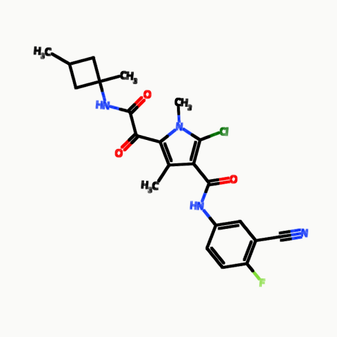 Cc1c(C(=O)Nc2ccc(F)c(C#N)c2)c(Cl)n(C)c1C(=O)C(=O)NC1(C)CC(C)C1